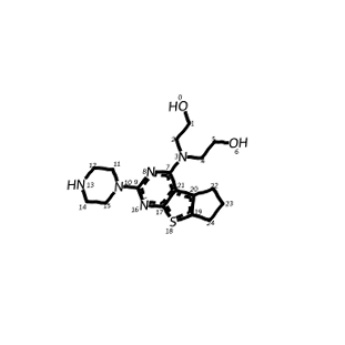 OCCN(CCO)c1nc(N2CCNCC2)nc2sc3c(c12)CCC3